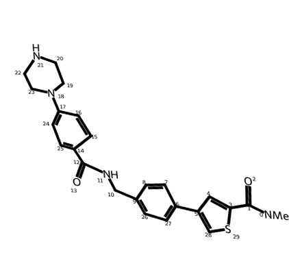 CNC(=O)c1cc(-c2ccc(CNC(=O)c3ccc(N4CCNCC4)cc3)cc2)cs1